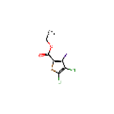 CCOC(=O)c1sc(Cl)c(Cl)c1I